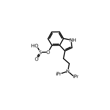 CC(C)N(CCc1c[nH]c2cccc(OS(=O)O)c12)C(C)C